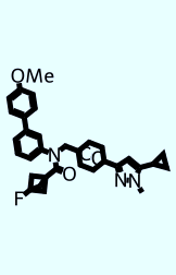 COc1ccc(-c2cccc(N(CC34CCC(c5cc(C6CC6)n(C)n5)(CC3)CC4)C(=O)C34CC(F)(C3)C4)c2)cc1